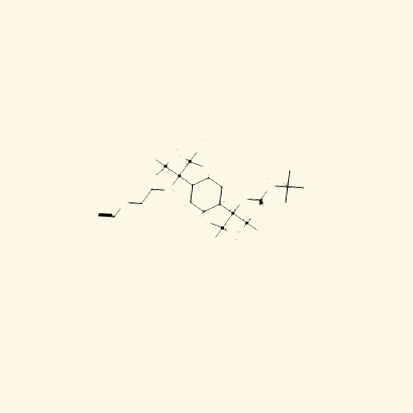 C=COCCOC(C1CCC(C(OC(=O)OC(C)(C)C)(C(F)(F)F)C(F)(F)F)CC1)(C(F)(F)F)C(F)(F)F